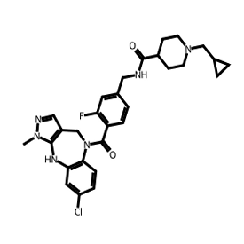 Cn1ncc2c1Nc1cc(Cl)ccc1N(C(=O)c1ccc(CNC(=O)C3CCN(CC4CC4)CC3)cc1F)C2